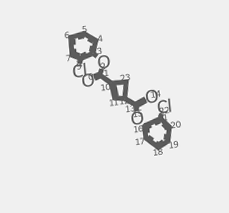 O=C(Oc1ccccc1Cl)C1=CC(C(=O)Oc2ccccc2Cl)C1